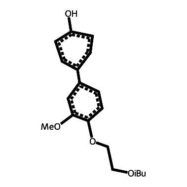 COc1cc(-c2ccc(O)cc2)ccc1OCCOCC(C)C